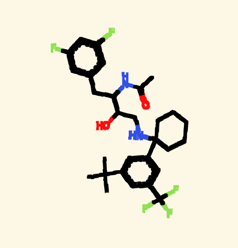 CC(=O)NC(Cc1cc(F)cc(F)c1)C(O)CNC1(c2cc(C(C)(C)C)cc(C(F)(F)F)c2)CCCCC1